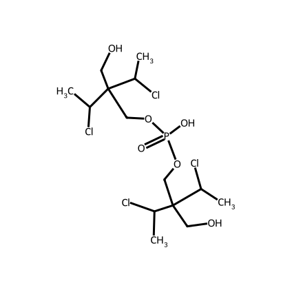 CC(Cl)C(CO)(COP(=O)(O)OCC(CO)(C(C)Cl)C(C)Cl)C(C)Cl